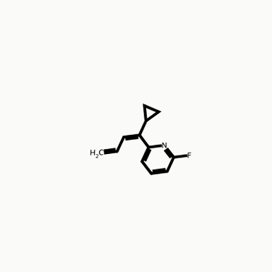 C=C/C=C(\c1cccc(F)n1)C1CC1